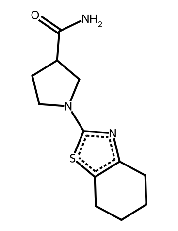 NC(=O)C1CCN(c2nc3c(s2)CCCC3)C1